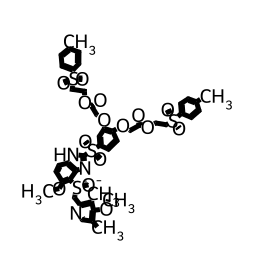 COc1ccc2[nH]c(S(=O)(=O)c3ccc(OCC(=O)OCCS(=O)(=O)c4ccc(C)cc4)c(OCC(=O)OCCS(=O)(=O)c4ccc(C)cc4)c3)nc2c1[S+]([O-])Cc1ncc(C)c(OC)c1C